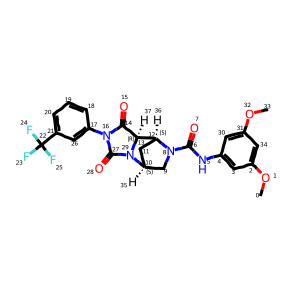 COc1cc(NC(=O)N2C[C@@H]3C[C@H]2[C@@H]2C(=O)N(c4cccc(C(F)(F)F)c4)C(=O)N32)cc(OC)c1